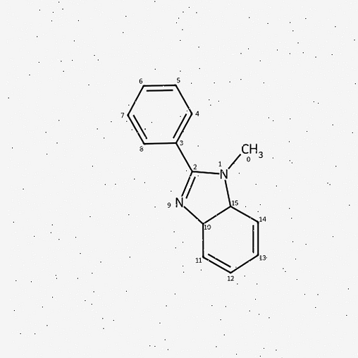 CN1C(c2ccccc2)=NC2C=CC=CC21